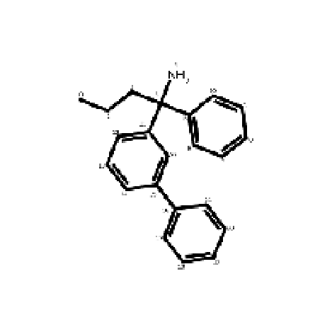 CCCC(N)(c1ccccc1)c1cccc(-c2ccccc2)c1